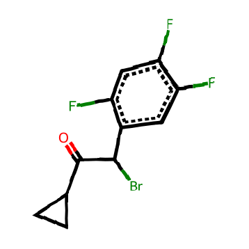 O=C(C1CC1)C(Br)c1cc(F)c(F)cc1F